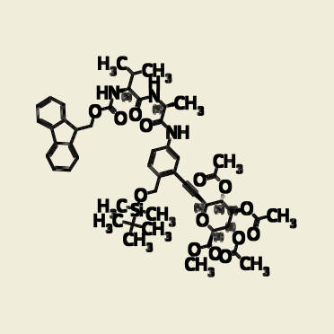 COC(=O)[C@H]1O[C@@H](C#Cc2cc(NC(=O)[C@H](C)NC(=O)[C@@H](NC(=O)OCC3c4ccccc4-c4ccccc43)C(C)C)ccc2CO[Si](C)(C)C(C)(C)C)[C@H](OC(C)=O)[C@@H](OC(C)=O)[C@@H]1OC(C)=O